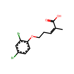 CC(=CCCOc1ccc(Br)cc1Br)C(=O)O